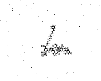 C[C@]12C=CC(=O)C=C1CCC1C2[C@@H](O)C[C@@]2(C)C1C[C@@H]1O[C@@H](C3CCCCC3)O[C@]12C(=O)COC(=O)C1CCCN1C(=O)c1ccc[n+](Cc2cc(C(O)CNCCCCCCOCCCCc3ccccc3)ccc2OP(=O)(O)O)c1.[Cl-]